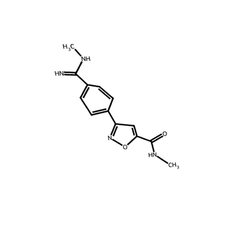 CNC(=N)c1ccc(-c2cc(C(=O)NC)on2)cc1